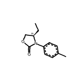 CC[C@@H]1COC(=O)N1c1ccc(C)cc1